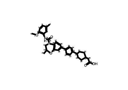 COc1ccc(C)cc1NC(=O)N1CC(C)Oc2cc(-c3ccc(C4CCC(CC(=O)O)CC4)cc3)ccc21